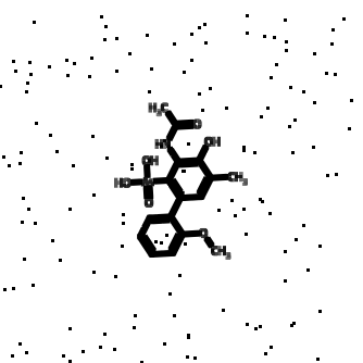 COc1ccccc1-c1cc(C)c(O)c(NC(C)=O)c1[As](=O)(O)O